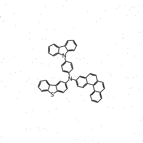 c1ccc2c(c1)ccc1ccc3cc(N(c4ccc(-n5c6ccccc6c6ccccc65)cc4)c4ccc5sc6ccccc6c5c4)ccc3c12